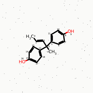 CC=CC(C)(c1ccc(O)cc1)c1ccc(O)cc1